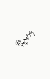 C=CC/N=C/NP(=S)(OCC)SCC